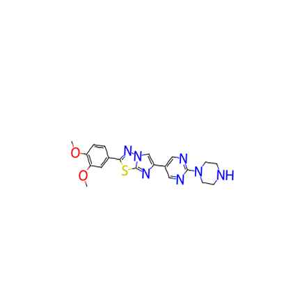 COc1ccc(-c2nn3cc(-c4cnc(N5CCNCC5)nc4)nc3s2)cc1OC